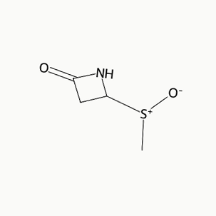 C[S+]([O-])C1CC(=O)N1